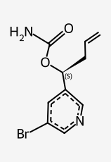 C=CC[C@H](OC(N)=O)c1cncc(Br)c1